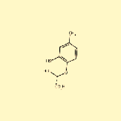 Cc1ccc(O[C@@H](C)C(=O)O)c(S)c1